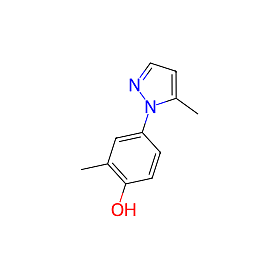 Cc1cc(-n2nccc2C)ccc1O